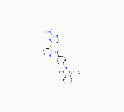 CNc1nccc(-c2cccnc2Oc2ccc(NC(=O)c3cccnc3NC3CC3)cc2)n1